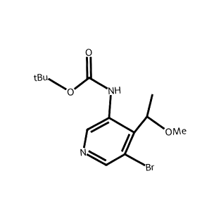 COC(C)c1c(Br)cncc1NC(=O)OC(C)(C)C